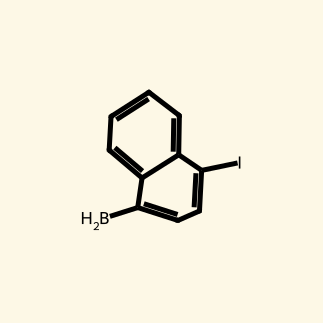 Bc1ccc(I)c2ccccc12